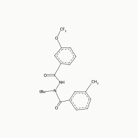 Cc1cccc(C(=O)N(NC(=O)c2cccc(OC(F)(F)F)c2)C(C)(C)C)c1